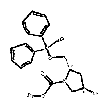 CC(C)(C)OC(=O)N1C[C@H](C#N)C[C@H]1CO[Si](c1ccccc1)(c1ccccc1)C(C)(C)C